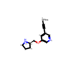 CCCCCCC#Cc1cncc(OC[C@H]2CCCN2)c1